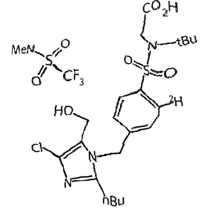 CNS(=O)(=O)C(F)(F)F.[2H]c1cc(Cn2c(CCCC)nc(Cl)c2CO)ccc1S(=O)(=O)N(CC(=O)O)C(C)(C)C